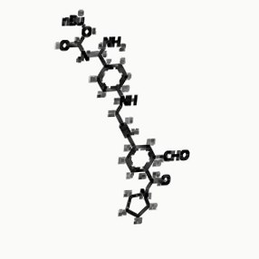 CCCCOC(=O)N=C(N)c1ccc(NCC#Cc2ccc(C(=O)N3CCCC3)c(C=O)c2)cc1